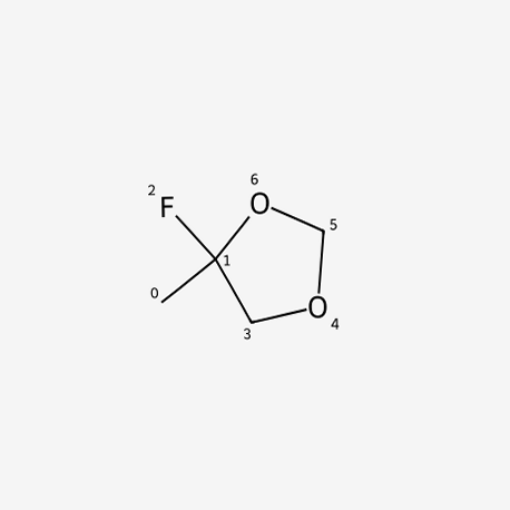 CC1(F)COCO1